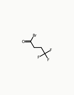 O=C(Br)CCC(F)(F)F